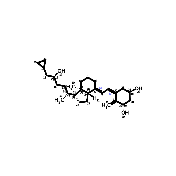 C=C1/C(=C\C=C2/CCC[C@]3(C)[C@@H]([C@H](C)CC[C@H](O)CC4CC4)CC[C@@H]23)C[C@@H](O)C[C@@H]1O